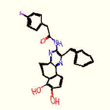 O=C(Cc1ccc(I)cc1)Nc1nc2c(nc1Cc1ccccc1)-c1ccc(O)c(O)c1CC2